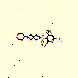 CC1=C(S(=O)(=O)N2CC3(CN(C4CCOCC4)C3)C2)C(C)CC(C(F)(F)F)=N1